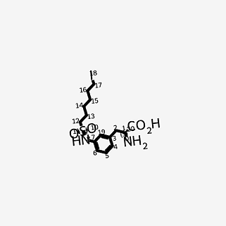 N[C@@H](Cc1cccc(NS(=O)(=O)CCCCCCI)c1)C(=O)O